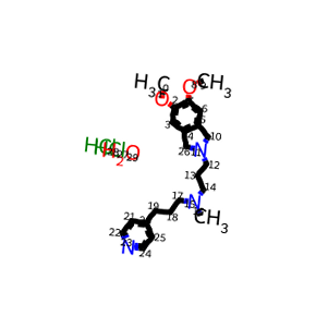 COc1cc2c(cc1OC)CN(CCCN(C)CCCc1ccncc1)C2.Cl.Cl.O